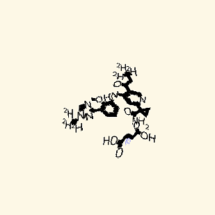 O=C(O)/C=C/C(=O)O.[2H]C([2H])([2H])CC(=O)c1cnc(C2(C(N)=O)CC2)cc1Nc1cccc(-c2ncn(C([2H])([2H])[2H])n2)c1OC